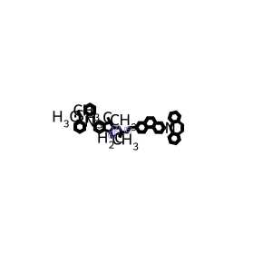 C=C(/C=C1\C(=C/C)c2ccc(N3c4ccccc4S(C)(C)c4ccccc43)cc2C1(C)C)/C=C/c1ccc2c(ccc3cc(N4c5ccccc5C=Cc5ccccc54)ccc32)c1